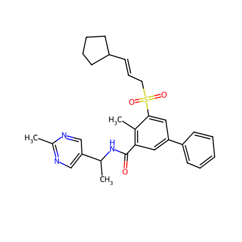 Cc1ncc(C(C)NC(=O)c2cc(-c3ccccc3)cc(S(=O)(=O)CC=CC3CCCC3)c2C)cn1